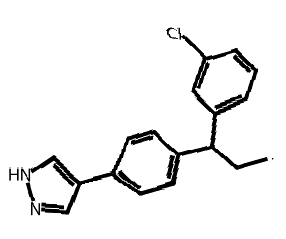 [CH2]CC(c1ccc(-c2cn[nH]c2)cc1)c1cccc(Cl)c1